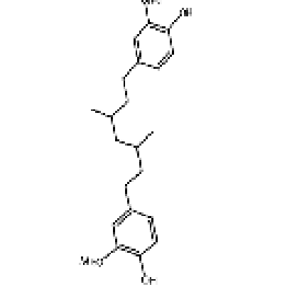 COc1cc(CCC(C)CC(C)CCc2ccc(O)c(OC)c2)ccc1O